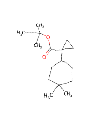 CC1(C)CCC(C2(C(=O)OC(C)(C)C)CC2)CC1